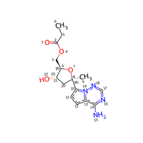 CCC(=O)OC[C@H]1O[C@@](C)(c2ccc3c(N)ncnn23)C[C@@H]1O